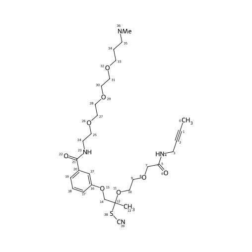 CC#CCNC(=O)COCCOC(C)(COc1cccc(C(=O)NCCOCCOCCOCCCNC)c1)SC#N